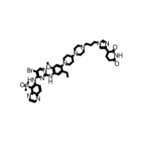 CCc1cc(Nc2ncc(Br)c(Nc3ccc4nccnc4c3P(C)(C)=O)n2)c(OC)cc1N1CCC(N2CCN(CCCn3cnc(C4CCC(=O)NC4=O)c3)CC2)CC1